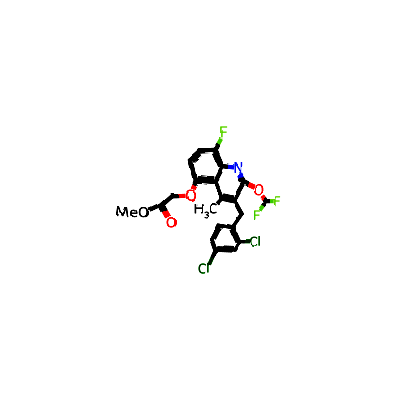 COC(=O)COc1ccc(F)c2nc(OC(F)F)c(Cc3ccc(Cl)cc3Cl)c(C)c12